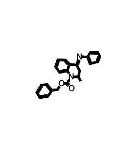 CC1CC(=Nc2ccccc2)c2ccccc2N1C(=O)OCc1ccccc1